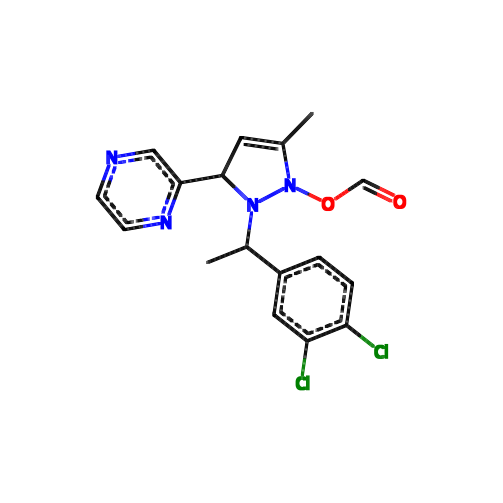 CC1=CC(c2cnccn2)N(C(C)c2ccc(Cl)c(Cl)c2)N1OC=O